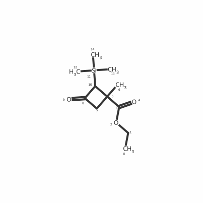 CCOC(=O)C1(C)CC(=O)C1[Si](C)(C)C